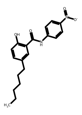 CCCCCCc1ccc(O)c(C(=O)Nc2ccc([N+](=O)[O-])cc2)c1